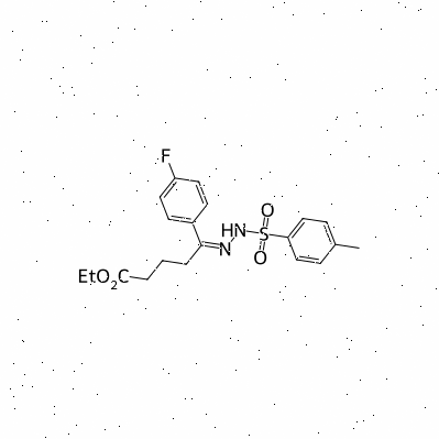 CCOC(=O)CCCC(=NNS(=O)(=O)c1ccc(C)cc1)c1ccc(F)cc1